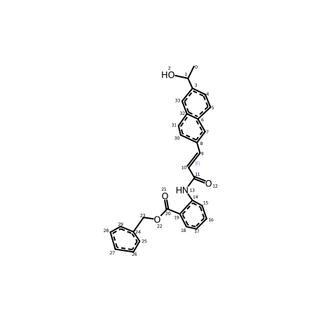 CC(O)c1ccc2cc(/C=C/C(=O)Nc3ccccc3C(=O)OCc3ccccc3)ccc2c1